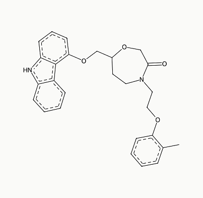 Cc1ccccc1OCCN1CCC(COc2cccc3[nH]c4ccccc4c23)OCC1=O